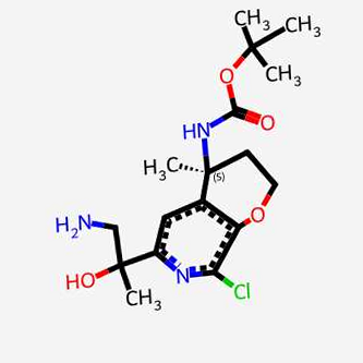 CC(C)(C)OC(=O)N[C@@]1(C)CCOc2c1cc(C(C)(O)CN)nc2Cl